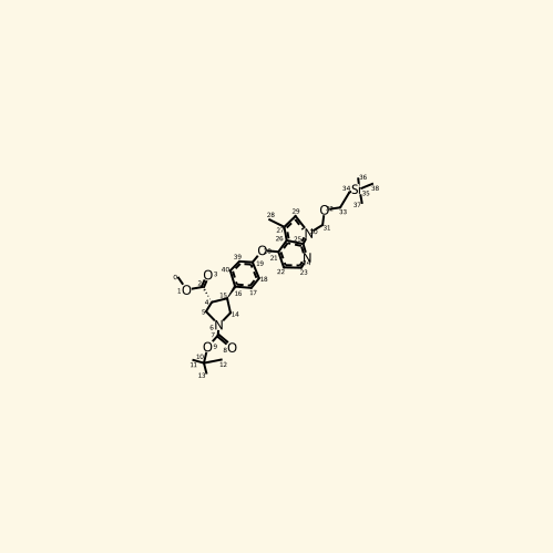 COC(=O)[C@H]1CN(C(=O)OC(C)(C)C)C[C@@H]1c1ccc(Oc2ccnc3c2c(C)cn3COCC[Si](C)(C)C)cc1